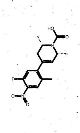 Cc1cc([N+](=O)[O-])c(F)cc1C1=C[C@@H](C)N(C(=O)O)[C@@H](C)C1